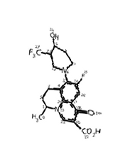 CC1CCc2c(N3CC[C@H](O)C(C(F)(F)F)C3)c(F)cc3c(=O)c(C(=O)O)cn1c23